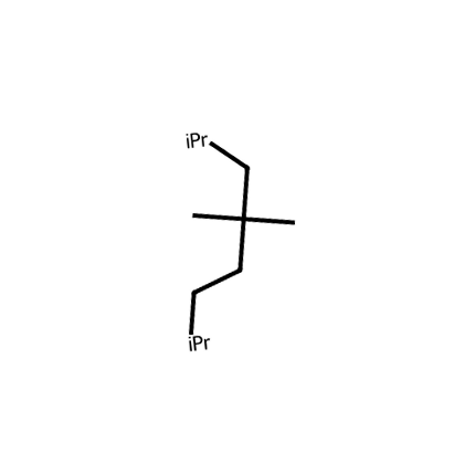 CC(C)CCC(C)(C)CC(C)C